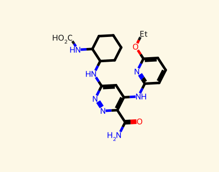 CCOc1cccc(Nc2cc(NC3CCCCC3NC(=O)O)nnc2C(N)=O)n1